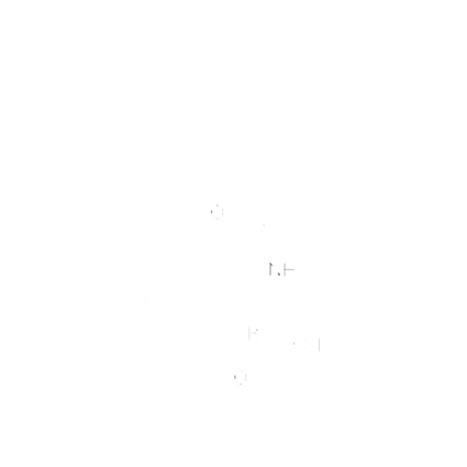 O=C(Cc1ccccc1)NC1C/C=C\CCOB1O